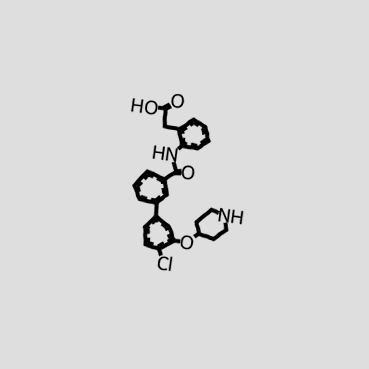 O=C(O)Cc1ccccc1NC(=O)c1cccc(-c2ccc(Cl)c(OC3CCNCC3)c2)c1